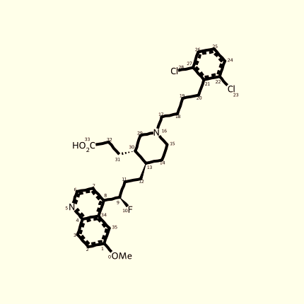 COc1ccc2nccc([C@H](F)CC[C@@H]3CCN(CCCCc4c(Cl)cccc4Cl)C[C@H]3CCC(=O)O)c2c1